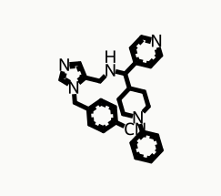 N#Cc1ccc(Cn2cncc2CNC(c2ccncc2)C2CCN(c3ccccc3)CC2)cc1